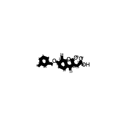 Cc1cccc(COc2ccc3c(C)c(CC(=O)O)c(=O)oc3c2C)c1